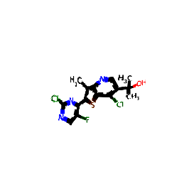 Cc1c(-c2nc(Cl)ncc2F)sc2c(Cl)c(C(C)(C)O)cnc12